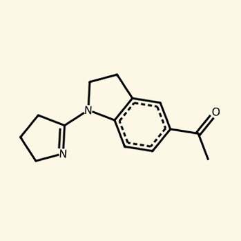 CC(=O)c1ccc2c(c1)CCN2C1=NCCC1